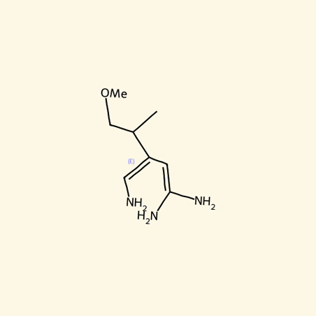 COCC(C)/C(C=C(N)N)=C/N